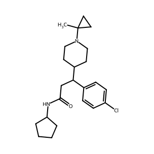 CC1(N2CCC(C(CC(=O)NC3CCCC3)c3ccc(Cl)cc3)CC2)CC1